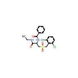 N#CCNC(=O)C(CS(=O)(=O)Cc1c(Cl)cccc1Cl)NC(=O)c1ccccc1